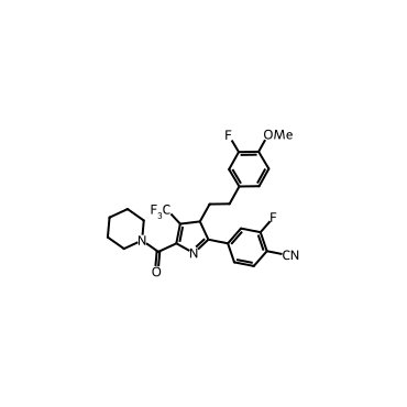 COc1ccc(CCC2C(c3ccc(C#N)c(F)c3)=NC(C(=O)N3CCCCC3)=C2C(F)(F)F)cc1F